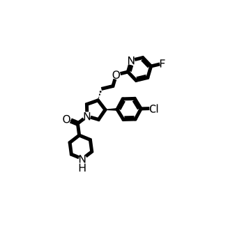 O=C(C1CCNCC1)N1C[C@H](CCOc2ccc(F)cn2)[C@@H](c2ccc(Cl)cc2)C1